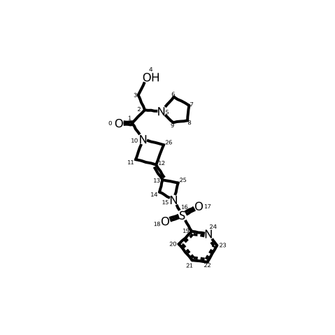 O=C(C(CO)N1CCCC1)N1CC(=C2CN(S(=O)(=O)c3ccccn3)C2)C1